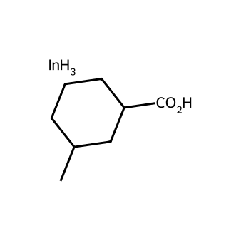 CC1CCCC(C(=O)O)C1.[InH3]